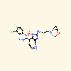 N=C(c1ccnc2nc(NCCN3CCOC4CC43)[nH]c12)N(O)c1ccc(F)c(Cl)c1